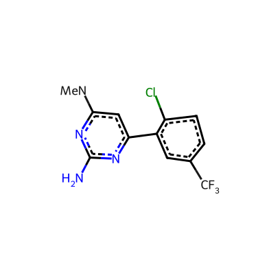 CNc1cc(-c2cc(C(F)(F)F)ccc2Cl)nc(N)n1